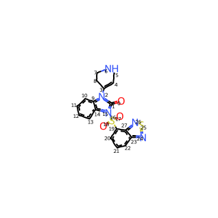 O=c1n(C2=CCNCC2)c2ccccc2n1S(=O)(=O)c1cccc2nsnc12